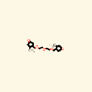 CC1CC2OC2CC1COCCOCCOCC1CC2OC2CC1C